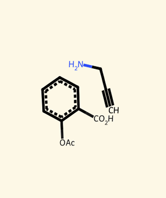 C#CCN.CC(=O)Oc1ccccc1C(=O)O